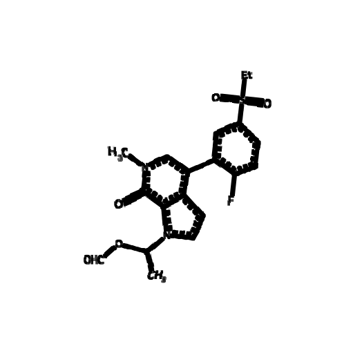 CCS(=O)(=O)c1ccc(F)c(-c2cn(C)c(=O)c3c2ccn3C(C)OC=O)c1